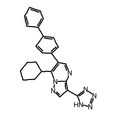 c1ccc(-c2ccc(-c3cnc4c(-c5nnn[nH]5)cnn4c3C3CCCCC3)cc2)cc1